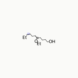 CC/C=C\CC[C@@H](CCCCO)OCC